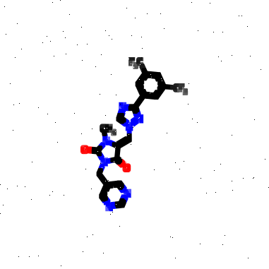 CN1C(=O)N(Cc2cncnc2)C(=O)/C1=C/n1cnc(-c2cc(C(F)(F)F)cc(C(F)(F)F)c2)n1